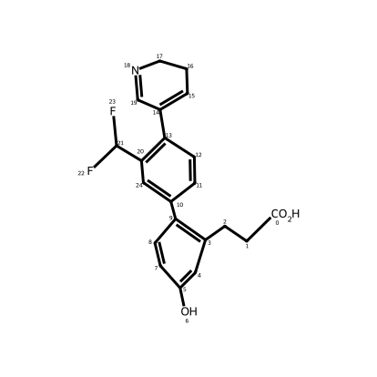 O=C(O)CCc1cc(O)ccc1-c1ccc(C2=CCCN=C2)c(C(F)F)c1